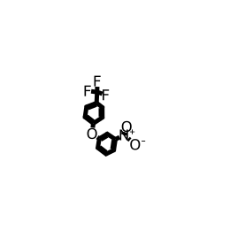 O=[N+]([O-])c1cccc(Oc2ccc(C(F)(F)F)cc2)c1